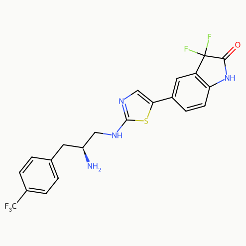 N[C@H](CNc1ncc(-c2ccc3c(c2)C(F)(F)C(=O)N3)s1)Cc1ccc(C(F)(F)F)cc1